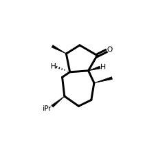 CC(C)[C@@H]1CC[C@H](C)[C@H]2C(=O)C[C@H](C)[C@@H]2C1